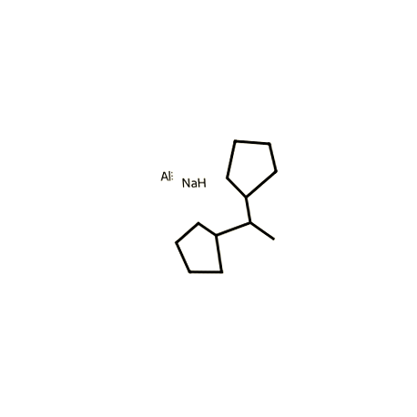 CC(C1CCCC1)C1CCCC1.[Al].[NaH]